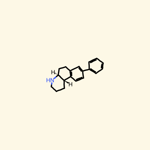 c1ccc(-c2ccc3c(c2)CC[C@@H]2NCCC[C@@H]32)cc1